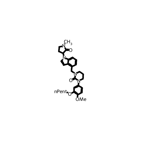 CCCCCOc1cc(N2CCCN(Cc3cccc4c3ccn4C3CCN(C)C3=O)C2=O)ccc1OC